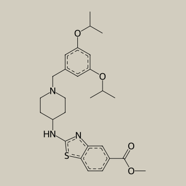 COC(=O)c1ccc2sc(NC3CCN(Cc4cc(OC(C)C)cc(OC(C)C)c4)CC3)nc2c1